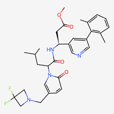 COC(=O)C[C@H](NC(=O)C(CC(C)C)n1cc(CN2CC(F)(F)C2)ccc1=O)c1cncc(-c2c(C)cccc2C)c1